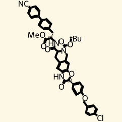 COC(=O)[C@H](Cc1ccc(-c2ccc(C#N)cc2)cc1)NC(=O)C1Cc2cc3c(cc2CN1C(=O)OC(C)(C)C)O[C@@H](c1ccc(OCc2ccc(Cl)cc2)cc1)C(=O)N3